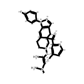 CN(N)/C=C(\N)SN1CCC2=Cc3c(cnn3-c3ccc(F)cc3)CC2(C(=O)c2cc(C(F)(F)F)ccn2)C1